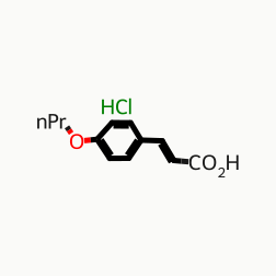 CCCOc1ccc(C=CC(=O)O)cc1.Cl